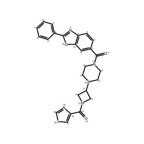 O=C(c1ccc2nc(-c3ccccc3)oc2c1)N1CCN(C2CN(C(=O)c3cscn3)C2)CC1